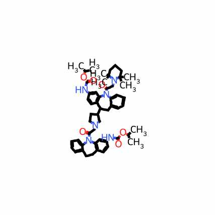 CC(C)OC(=O)Nc1ccc2c(c1)N(C(=O)CN1CCC(C3Cc4ccccc4N(C(=O)CN4C(C)(C)CCCC4(C)C)c4cc(NC(=O)OC(C)C)ccc43)C1)c1ccccc1CC2